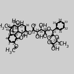 COc1ccc2c3c1O[C@@H]1C(OC(=O)[C@H](O)[C@@H](O)C(=O)O[C@H](C(=O)O[C@@H](C)C(=O)O)c4ccccc4)=CC[C@]4(O)[C@H](C2)N(C)CC[C@@]314